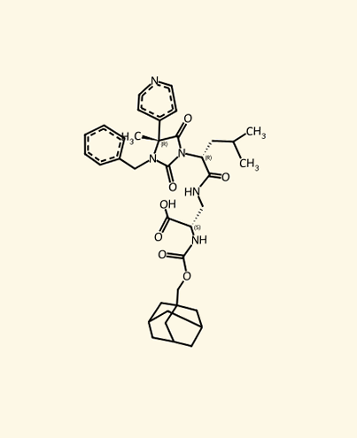 CC(C)C[C@H](C(=O)NC[C@H](NC(=O)OCC12CC3CC(CC(C3)C1)C2)C(=O)O)N1C(=O)N(Cc2ccccc2)[C@](C)(c2ccncc2)C1=O